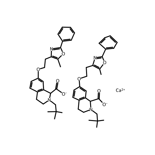 Cc1oc(-c2ccccc2)nc1CCOc1ccc2c(c1)C(C(=O)[O-])N(CC(C)(C)C)CC2.Cc1oc(-c2ccccc2)nc1CCOc1ccc2c(c1)C(C(=O)[O-])N(CC(C)(C)C)CC2.[Ca+2]